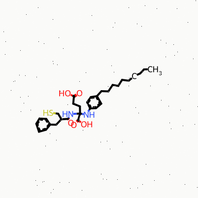 CCCCCCCCCCc1ccc(NC(CCC(=O)O)(NC(=O)C(CS)Cc2ccccc2)C(=O)O)cc1